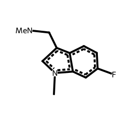 CNCc1cn(C)c2cc(F)ccc12